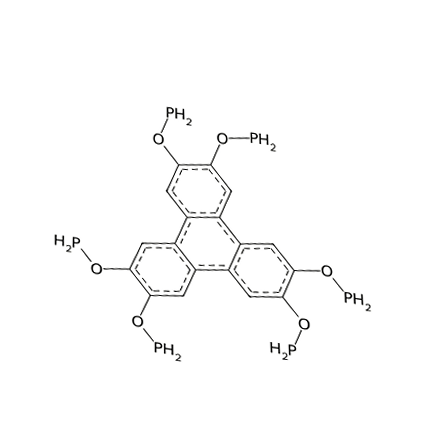 POc1cc2c3cc(OP)c(OP)cc3c3cc(OP)c(OP)cc3c2cc1OP